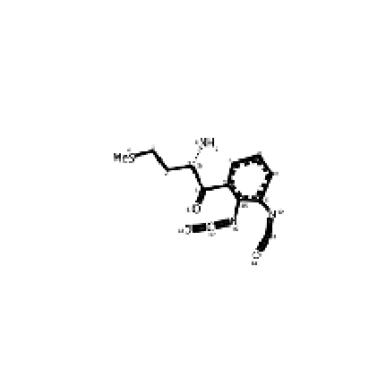 CSCC[C@H](N)C(=O)c1cccc(N=C=O)c1N=C=O